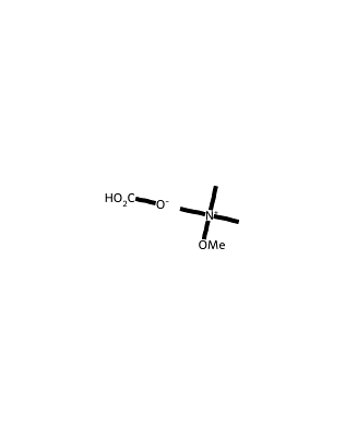 CO[N+](C)(C)C.O=C([O-])O